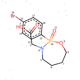 O=C(O)CN1CCCCOP1(=O)c1ccc(Br)cc1